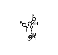 CN1C2CCC1CC(NCCCOc1c3[nH]c4ccc(F)cc4c3cc3c1[nH]c1ccc(F)cc13)C2